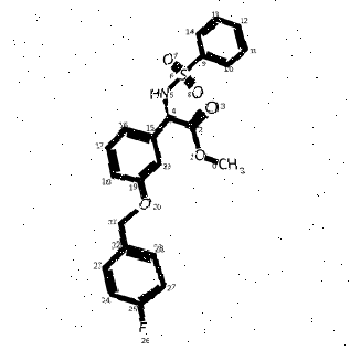 COC(=O)[C@H](NS(=O)(=O)c1ccccc1)c1cccc(OCc2ccc(F)cc2)c1